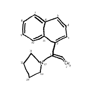 C=C(c1cccc2ccccc12)N1CCCC1